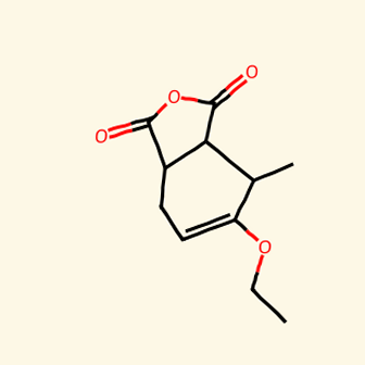 CCOC1=CCC2C(=O)OC(=O)C2C1C